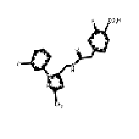 O=C(Cc1ccc(C(=O)O)c(F)c1)NCc1cc(C(F)(F)F)nn1-c1cccc(Cl)c1